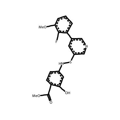 COC(=O)c1ccc(NSc2cncc(-c3cccc(OC)c3F)c2)cc1O